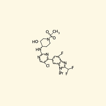 CC(C)n1c(C(F)F)nc2c(F)cc(-c3nc(N[C@@H]4CCN(S(C)(=O)=O)C[C@H]4O)ncc3Cl)cc21